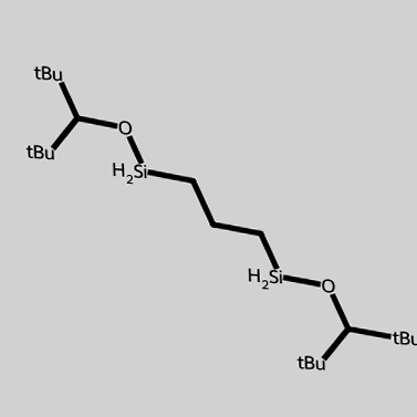 CC(C)(C)C(O[SiH2]CCC[SiH2]OC(C(C)(C)C)C(C)(C)C)C(C)(C)C